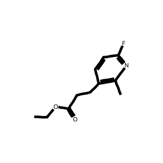 CCOC(=O)CCc1ccc(F)nc1C